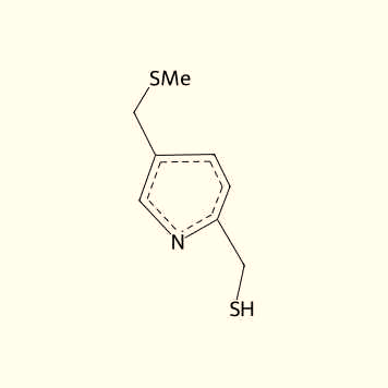 CSCc1ccc(CS)nc1